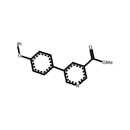 COC(=O)c1cncc(-c2ccc(OC(C)C)cc2)c1